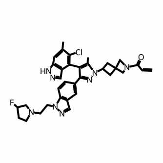 C=CC(=O)N1CC2(CC(n3nc(-c4ccc5c(cnn5CCN5CCC(F)C5)c4)c(-c4c(Cl)c(C)cc5[nH]ncc45)c3C)C2)C1